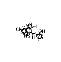 O[C@H]1CCCN[C@@H]1CCCn1cnc2cc(Cl)cc(-c3cn[nH]c3)c21